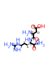 N=C(N)NCCC[C@H](NC(=O)[C@@H](N)CC(=O)O)C(N)=O